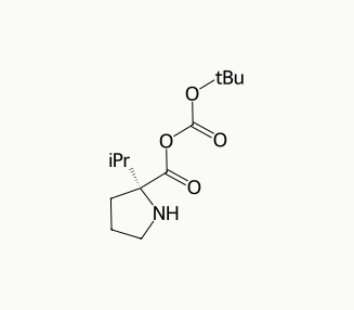 CC(C)[C@@]1(C(=O)OC(=O)OC(C)(C)C)CCCN1